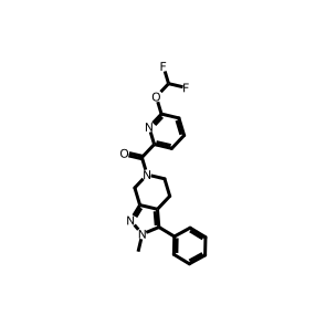 Cn1nc2c(c1-c1ccccc1)CCN(C(=O)c1cccc(OC(F)F)n1)C2